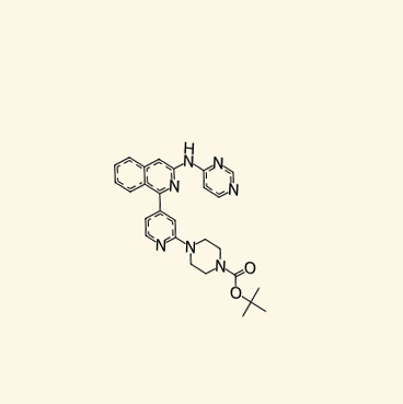 CC(C)(C)OC(=O)N1CCN(c2cc(-c3nc(Nc4ccncn4)cc4ccccc34)ccn2)CC1